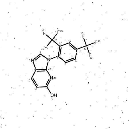 Oc1ccc2ncn(-c3ccc(C(F)(F)F)cc3C(F)(F)F)c2n1